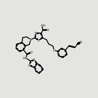 N#C/C=C/c1cccc(OCCCc2sc(N3CCc4cccc(C(=O)Nc5nc6ccccc6s5)c4C3)nc2C(=O)O)c1